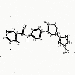 CCn1nnc(N2CCC(C)=C(c3ccc(NC(=O)c4cnccc4C)cc3)C2)n1